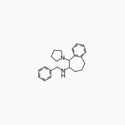 c1ccc(CNC2CCCc3ccccc3C2N2CCCC2)cc1